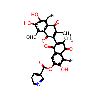 CC1=C(C2=C(C)C(=O)c3c(c(C=O)c(O)c(O)c3C(C)C)C2=O)C(=O)c2cc(OC(=O)C3=CCCN=C3)c(O)c(C(C)C)c2C1=O